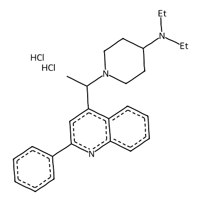 CCN(CC)C1CCN(C(C)c2cc(-c3ccccc3)nc3ccccc23)CC1.Cl.Cl